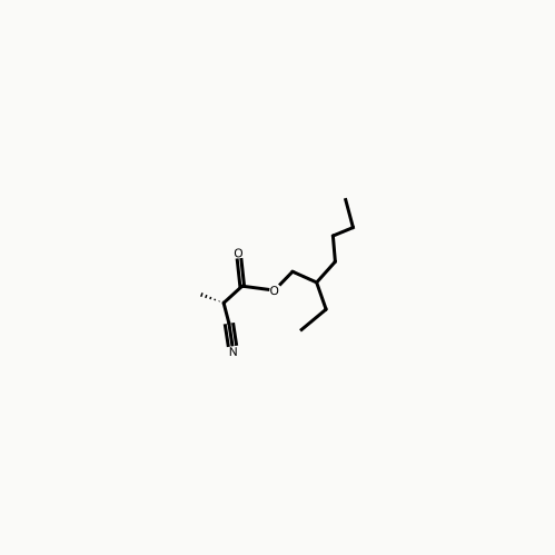 CCCCC(CC)COC(=O)[C@@H](C)C#N